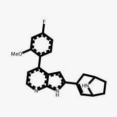 COc1cc(F)ccc1-c1ccnc2[nH]c(C3=CC4CCC(C3)N4)cc12